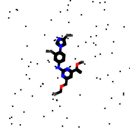 C=C(OCC)c1cc(COCC(F)(F)F)nc(Nc2ccc(-n3cnc(OC)c3)c(OC)c2)n1